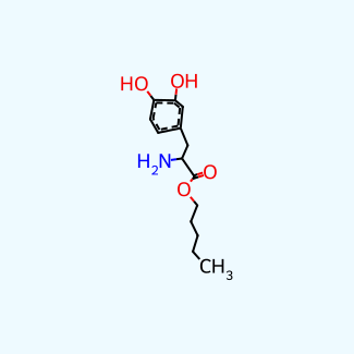 CCCCCOC(=O)C(N)Cc1ccc(O)c(O)c1